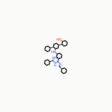 NC(NC(/N=C/c1ccccc1)c1cccc(Nc2cc(-c3ccccc3O)ccc2-c2ccccc2)c1)c1ccccc1